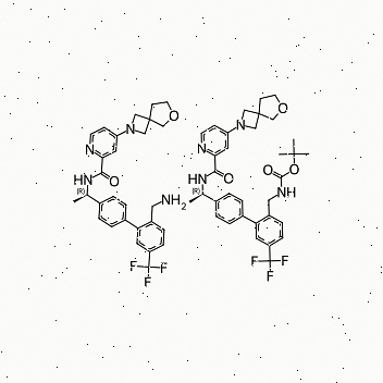 C[C@@H](NC(=O)c1cc(N2CC3(CCOC3)C2)ccn1)c1ccc(-c2cc(C(F)(F)F)ccc2CN)cc1.C[C@@H](NC(=O)c1cc(N2CC3(CCOC3)C2)ccn1)c1ccc(-c2cc(C(F)(F)F)ccc2CNC(=O)OC(C)(C)C)cc1